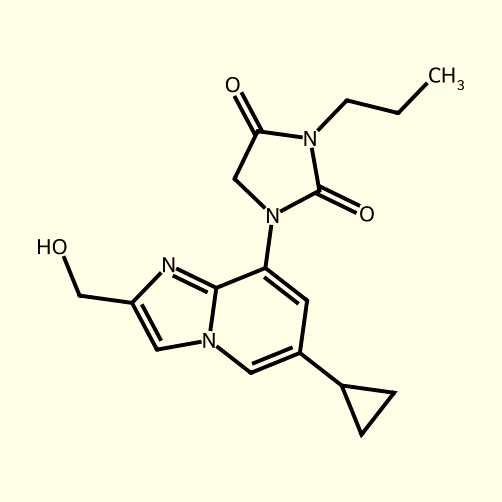 CCCN1C(=O)CN(c2cc(C3CC3)cn3cc(CO)nc23)C1=O